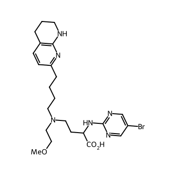 COCCN(CCCCc1ccc2c(n1)NCCC2)CCC(Nc1ncc(Br)cn1)C(=O)O